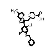 Cc1ccn2c(CC3CN(C(=O)O)CCO3)c(-c3cc(F)c(SCc4ccccc4)cc3Cl)nc2c1